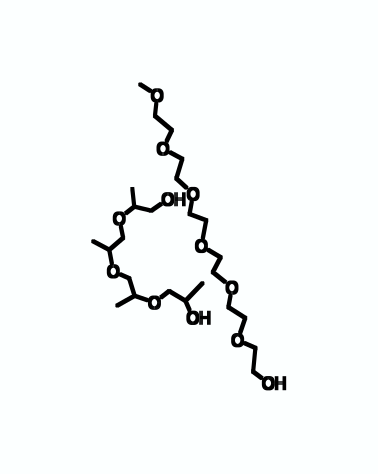 CC(O)COC(C)COC(C)COC(C)CO.COCCOCCOCCOCCOCCOCCO